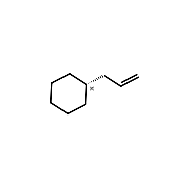 C=CC[C@@H]1C[CH]CCC1